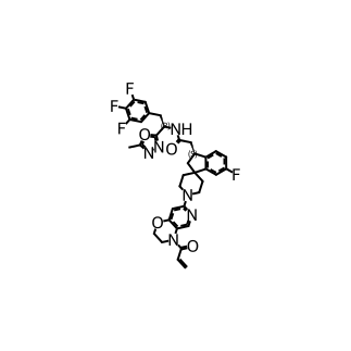 C=CC(=O)N1CCOc2cc(N3CCC4(CC3)C[C@@H](CC(=O)N[C@H](Cc3cc(F)c(F)c(F)c3)c3nnc(C)o3)c3ccc(F)cc34)ncc21